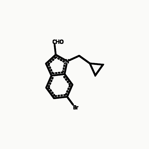 O=Cc1cc2ccc(Br)cc2n1CC1CC1